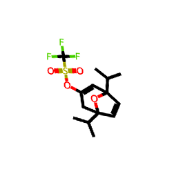 CC(C)C12C=CC(C(C)C)(CC(OS(=O)(=O)C(F)(F)F)=C1)O2